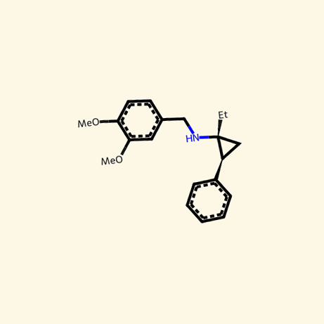 CC[C@@]1(NCc2ccc(OC)c(OC)c2)C[C@H]1c1ccccc1